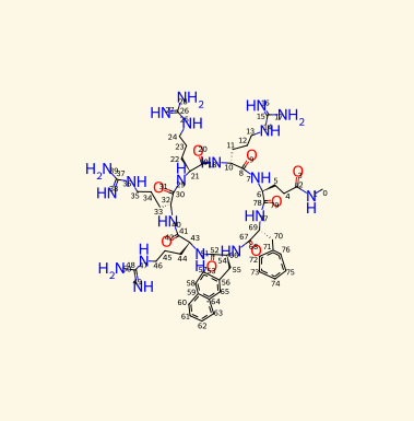 CNC(=O)CC[C@@H]1NC(=O)[C@@H](CCCNC(=N)N)NC(=O)[C@H](CCCNC(=N)N)NC(=O)[C@@H](CCCNC(=N)N)NC(=O)[C@H](CCCNC(=N)N)NC(=O)[C@H](Cc2ccc3ccccc3c2)NC(=O)[C@@H](Cc2ccccc2)NC1=O